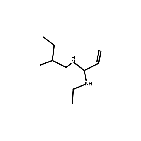 C=CC(NCC)NCC(C)CC